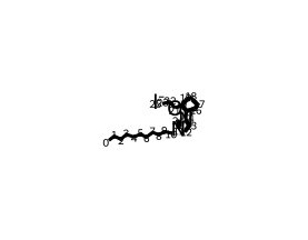 CCCCCCCCCCC[n+]1ccn(-c2ccccc2OCC)c1.[I-]